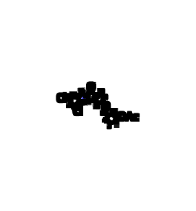 CC(=O)Oc1cccc(COc2ccc3c(c2)C/C(=C\c2cc(Cl)cc(Cl)c2)C3=O)c1